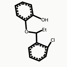 [CH2]CC(Oc1ccccc1O)c1ccccc1Cl